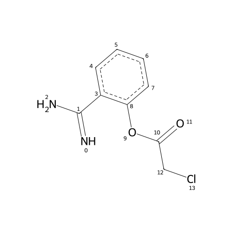 N=C(N)c1ccccc1OC(=O)CCl